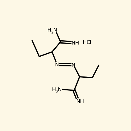 CCC(N=NC(CC)C(=N)N)C(=N)N.Cl